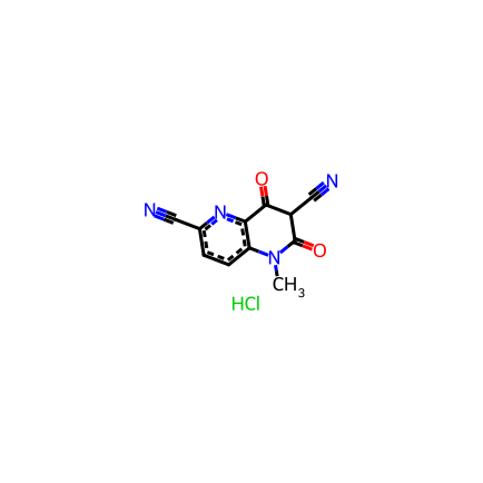 CN1C(=O)C(C#N)C(=O)c2nc(C#N)ccc21.Cl